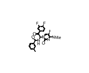 CNc1nc(=O)n(C(NC(=O)c2cccc(C)c2)C(=O)c2ccc(F)c(F)c2)cc1F